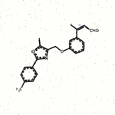 C/C(=C/C=O)c1cccc(OCc2nc(-c3ccc(C(F)(F)F)cc3)oc2C)c1